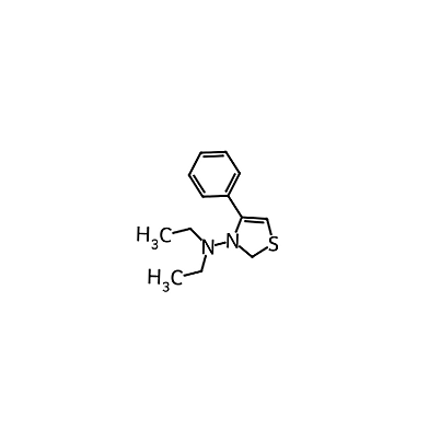 CCN(CC)N1CSC=C1c1ccccc1